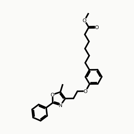 COC(=O)CCCCCc1cccc(OCCc2nc(-c3ccccc3)oc2C)c1